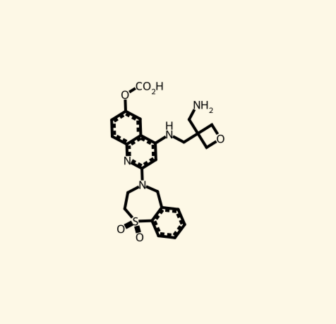 NCC1(CNc2cc(N3CCS(=O)(=O)c4ccccc4C3)nc3ccc(OC(=O)O)cc23)COC1